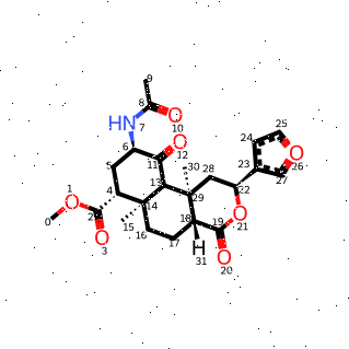 COC(=O)[C@@H]1C[C@@H](NC(C)=O)C(=O)C2[C@@]1(C)CC[C@H]1C(=O)O[C@H](c3ccoc3)C[C@]21C